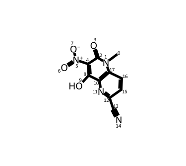 Cn1c(=O)c([N+](=O)[O-])c(O)c2nc(C#N)ccc21